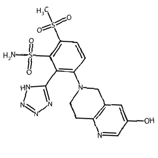 CS(=O)(=O)c1ccc(N2CCc3ncc(O)cc3C2)c(-c2nnn[nH]2)c1S(N)(=O)=O